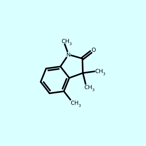 Cc1cccc2c1C(C)(C)C(=O)N2C